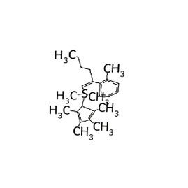 CCCC/C(=C/S(C)(C)C1C(C)=C(C)C(C)=C1C)c1ccccc1C